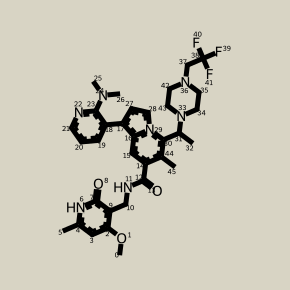 COc1cc(C)[nH]c(=O)c1CNC(=O)c1cc2c(-c3cccnc3N(C)C)ccn2c(C(C)N2CCN(CC(F)(F)F)CC2)c1C